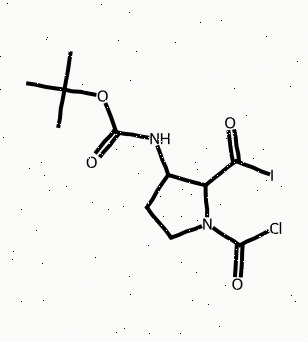 CC(C)(C)OC(=O)NC1CCN(C(=O)Cl)C1C(=O)I